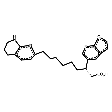 O=C(O)C[C@H](CCCCCCc1ccc2c(n1)NCCC2)c1cnc2occc2c1